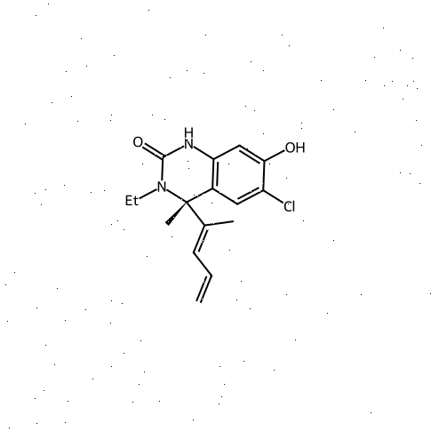 C=C/C=C(\C)[C@@]1(C)c2cc(Cl)c(O)cc2NC(=O)N1CC